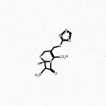 NC1C(=O)N2C(C(=O)O)=C(CSc3nnco3)CS[C@@H]12